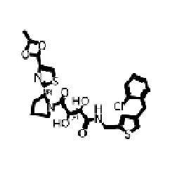 CC1OC(c2csc([C@H]3CCCN3C(=O)[C@H](O)[C@@H](O)C(=O)NCc3cc(Cc4ccccc4Cl)cs3)n2)O1